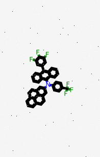 Fc1cc(-c2c3ccccc3c(N(c3ccc(C(F)(F)F)cc3)c3cc4ccc5cccc6ccc(c3)c4c56)c3ccccc23)cc(F)c1F